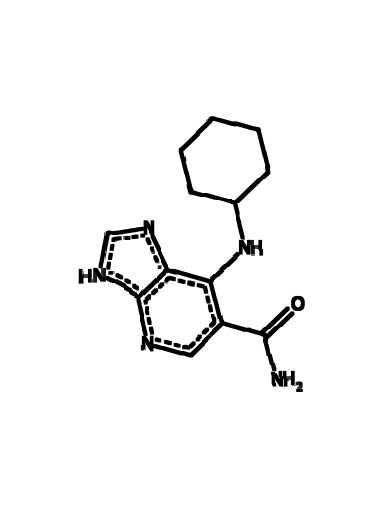 NC(=O)c1cnc2[nH]cnc2c1NC1CCCCC1